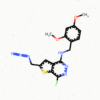 COc1ccc(CNc2nnc(F)c3sc(CN=[N+]=[N-])cc23)c(OC)c1